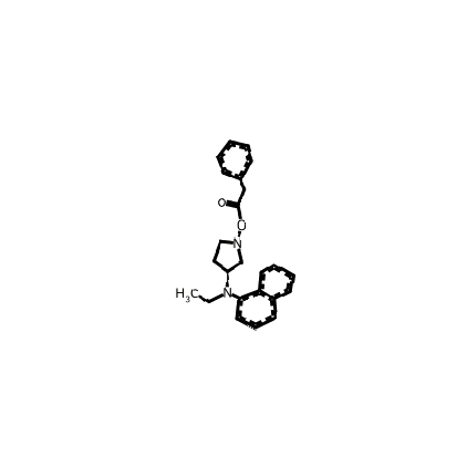 CCN(c1cccc2ccccc12)[C@H]1CCN(OC(=O)Cc2ccccc2)C1